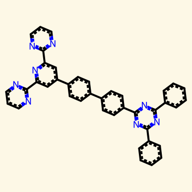 c1ccc(-c2nc(-c3ccccc3)nc(-c3ccc(-c4ccc(-c5cc(-c6ncccn6)nc(-c6ncccn6)c5)cc4)cc3)n2)cc1